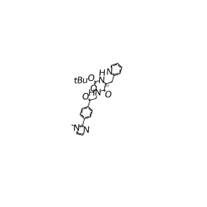 Cn1ccnc1-c1ccc(C(=O)CNC(=O)[C@H](Cc2ccccn2)NC(=O)OC(C)(C)C)cc1